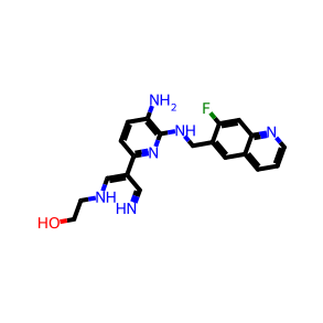 N=C/C(=C\NCCO)c1ccc(N)c(NCc2cc3cccnc3cc2F)n1